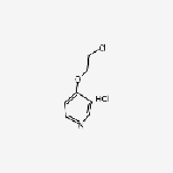 Cl.ClCCOc1ccncc1